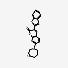 O=c1oc2nc(N3CCCNCC3)ccc2cc1-c1nc2ccccc2s1